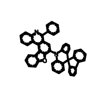 c1ccc(-c2nc3ccccc3c3c2cc(N2c4ccccc4C4(c5ccccc5-c5ccccc54)c4ccccc42)c2oc4ccccc4c23)cc1